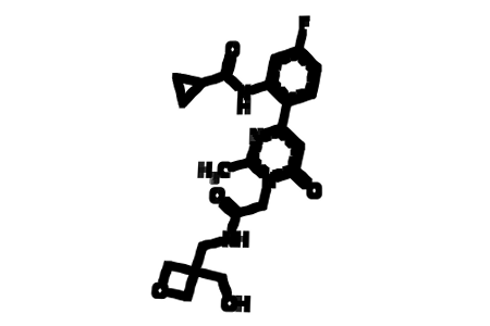 Cc1nc(-c2ccc(F)cc2NC(=O)C2CC2)cc(=O)n1CC(=O)NCC1(CO)COC1